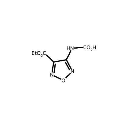 CCOC(=O)c1nonc1NC(=O)O